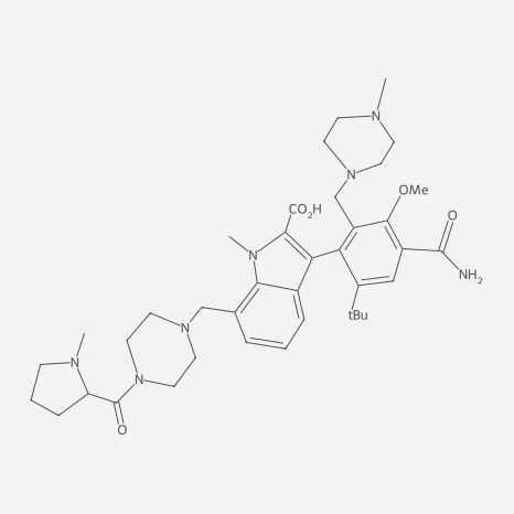 COc1c(C(N)=O)cc(C(C)(C)C)c(-c2c(C(=O)O)n(C)c3c(CN4CCN(C(=O)C5CCCN5C)CC4)cccc23)c1CN1CCN(C)CC1